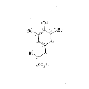 CCOC(=O)C(CC)Cc1cc(C(C)(C)C)c(O)c(C(C)(C)C)c1